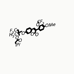 COc1ccc(-c2cc3ccc(OCC(C)(COC(=O)CC(C)C)CC(F)(F)F)cc3oc2=O)c(OC(F)(F)F)c1